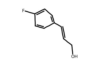 OCC=Cc1ccc(F)cc1